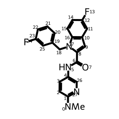 CNc1ccc(NC(=O)c2cc3cc(F)ccc3n2Cc2cccc(F)c2)cn1